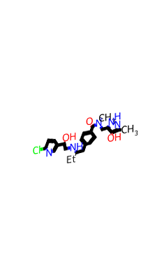 CC[C@@H](Cc1ccc(C(=O)N(C)Cc2n[nH]c(C)c2O)cc1)NC[C@H](O)c1ccc(Cl)nc1